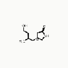 CC(CCO)C[C@@H]1CNC(=O)C1